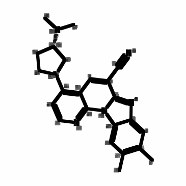 Cc1cc2nc3c(C#N)cc4c(N5CC[C@H](N(C)C)C5)ccnc4n3c2cc1C